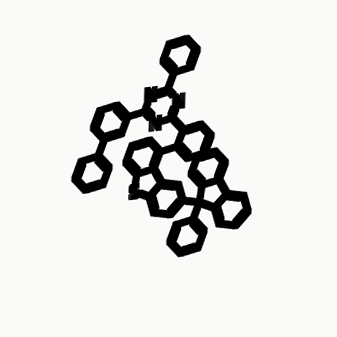 c1ccc(-c2cccc(-c3nc(-c4ccccc4)nc(-c4ccccc4-c4cccc5sc6ccc(C7(c8ccccc8)c8ccccc8-c8ccccc87)cc6c45)n3)c2)cc1